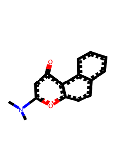 CN(C)c1cc(=O)c2c(ccc3ccccc32)o1